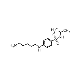 CC(C)NS(=O)(=O)c1ccc(NCCCCCN)cc1